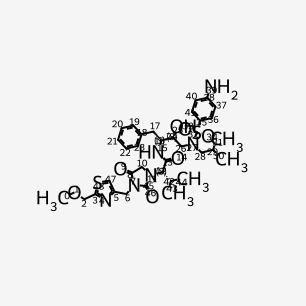 COCc1nc(CN2C(=O)CN([C@H](C(=O)N[C@@H](Cc3ccccc3)[C@@H](O)CN(CC(C)C)S(=O)(=O)c3ccc(N)cc3)C(C)C)C2=O)cs1